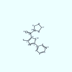 Cc1nc(-c2cccnc2)sc1C(=O)N1CCCC1